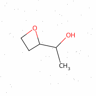 CC(O)C1CCO1